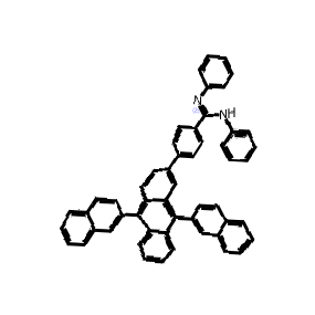 c1ccc(/N=C(\Nc2ccccc2)c2ccc(-c3ccc4c(-c5ccc6ccccc6c5)c5ccccc5c(-c5ccc6ccccc6c5)c4c3)cc2)cc1